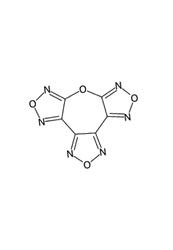 n1onc2c1Oc1nonc1-c1nonc1-2